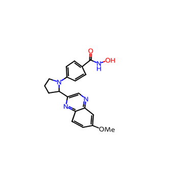 COc1ccc2nc(C3CCCN3c3ccc(C(=O)NO)cc3)cnc2c1